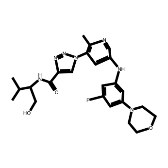 Cc1ncc(Nc2cc(F)cc(N3CCOCC3)c2)cc1-n1cc(C(=O)NC(CO)C(C)C)nn1